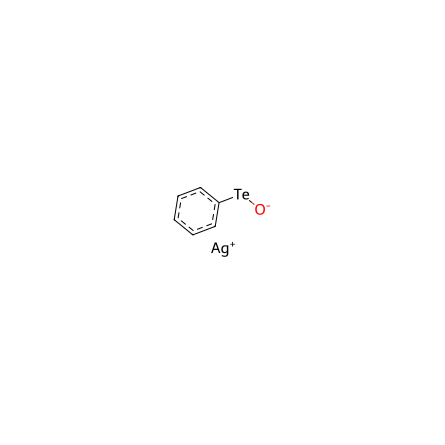 [Ag+].[O-][Te]c1ccccc1